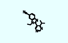 CCn1c(-c2cncnc2C(C)C)nc2ccc(C#N)cc21